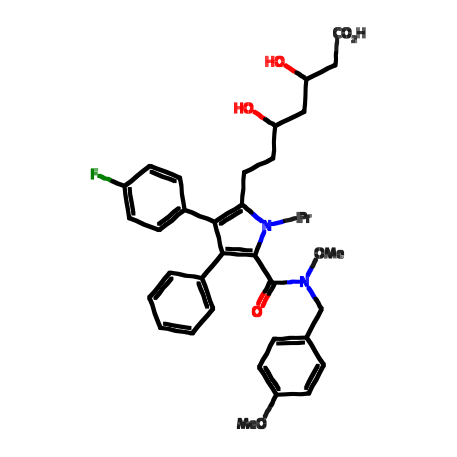 COc1ccc(CN(OC)C(=O)c2c(-c3ccccc3)c(-c3ccc(F)cc3)c(CCC(O)CC(O)CC(=O)O)n2C(C)C)cc1